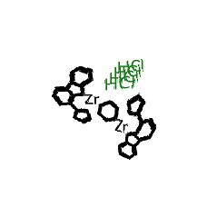 C1=CCC(c2cccc3c2[CH]([Zr]=[C]2CC[C](=[Zr][CH]4c5ccccc5-c5cccc(C6=CC=CC6)c54)CC2)c2ccccc2-3)=C1.Cl.Cl.Cl.Cl